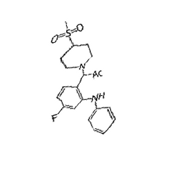 CC(=O)C(c1ccc(F)cc1Nc1ccccc1)N1CCC(S(C)(=O)=O)CC1